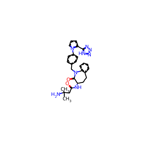 CC(C)(N)CC(=O)N[C@@H]1CCc2ccccc2N(Cc2ccc(-n3cccc3-c3nnn[nH]3)cc2)C1=O